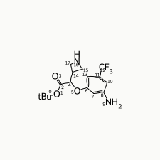 CC(C)(C)OC(=O)C(Oc1cc(N)cc(C(F)(F)F)c1)C1CNC1